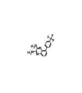 Nc1nc2cccc(-c3ccc(C(F)(F)F)cc3)c2nc1N